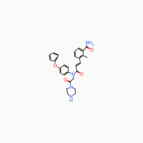 Cc1c(/C=C/C(=O)N(CC(=O)N2CCNCC2)c2ccc(Oc3ccccc3)cc2)cccc1C(N)=O